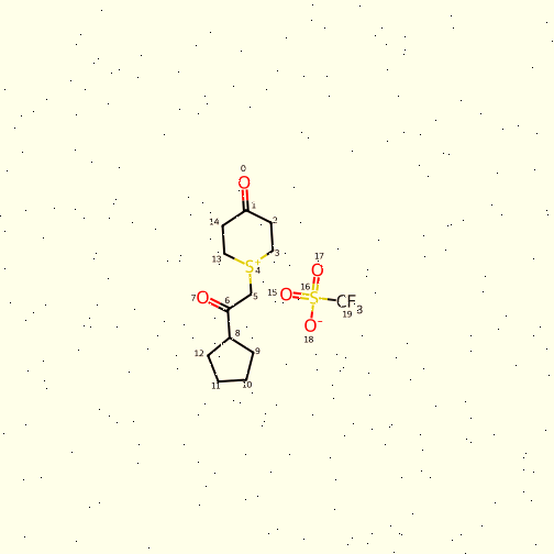 O=C1CC[S+](CC(=O)C2CCCC2)CC1.O=S(=O)([O-])C(F)(F)F